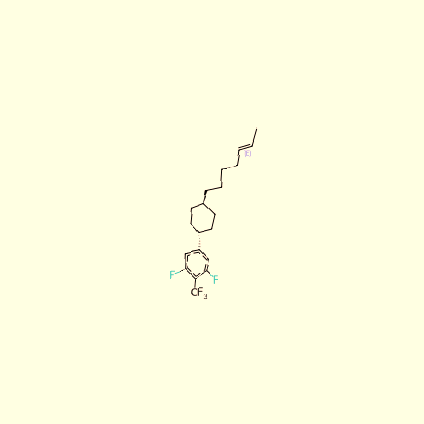 C/C=C/CCCC[C@H]1CC[C@H](c2cc(F)c(C(F)(F)F)c(F)c2)CC1